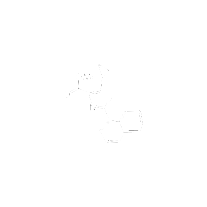 COC(=O)c1nc(-c2cccc3ccccc23)oc1C1CC1